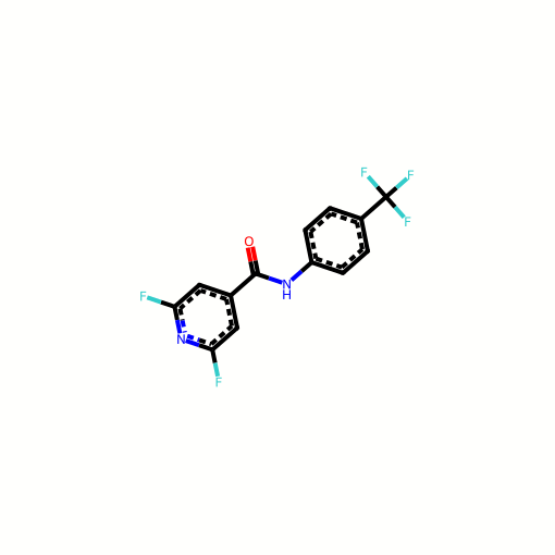 O=C(Nc1ccc(C(F)(F)F)cc1)c1cc(F)nc(F)c1